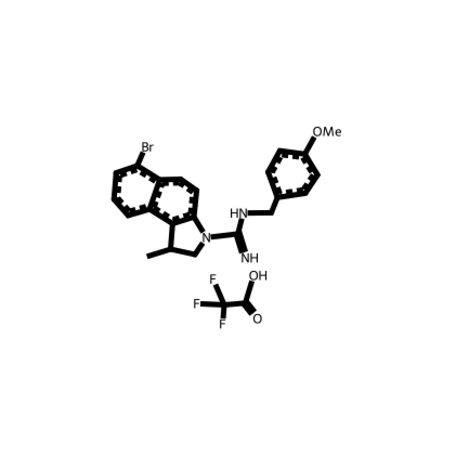 COc1ccc(CNC(=N)N2CC(C)c3c2ccc2c(Br)cccc32)cc1.O=C(O)C(F)(F)F